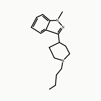 CCCCN1CCC(c2nn(C)c3ccccc23)CC1